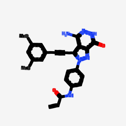 C=CC(=O)Nc1ccc(-n2nc3c(=O)[nH]nc(N)c3c2C#Cc2cc(OC)cc(OC)c2)cc1